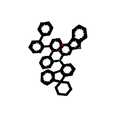 c1ccc(-c2ccccc2-c2ccccc2-c2ccccc2N(c2ccc3c(c2)oc2ccccc23)c2cccc3c2-c2ccccc2C32CCCCC2)cc1